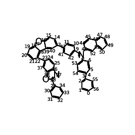 c1ccc(-c2ccc(N(c3ccc(-c4ccc5oc6cccc(-c7ccc8nc(-c9ccccc9)oc8c7)c6c5c4)cc3)c3ccc4ccccc4c3)cc2)cc1